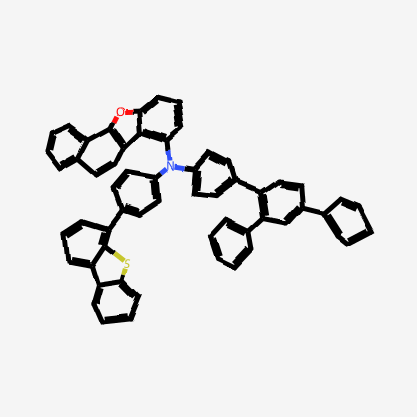 c1ccc(-c2ccc(-c3ccc(N(c4ccc(-c5cccc6c5sc5ccccc56)cc4)c4cccc5oc6c7ccccc7ccc6c45)cc3)c(-c3ccccc3)c2)cc1